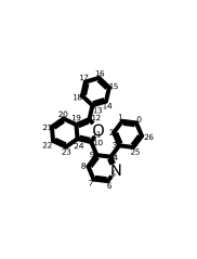 c1ccc(-c2ncccc2-c2oc(-c3ccccc3)c3ccccc23)cc1